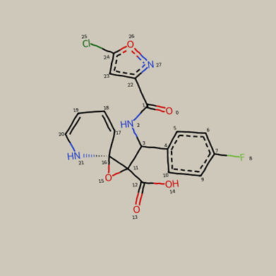 O=C(NC(c1ccc(F)cc1)C1(C(=O)O)O[C@@]12C=CC=CN2)c1cc(Cl)on1